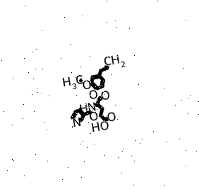 C=CCc1ccc(OC(=O)C(CCC(=O)O)NC(=O)c2cccnc2)c(OC)c1